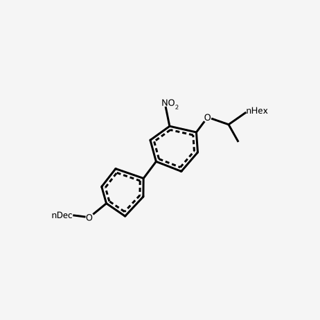 CCCCCCCCCCOc1ccc(-c2ccc(OC(C)CCCCCC)c([N+](=O)[O-])c2)cc1